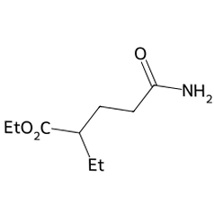 CCOC(=O)C(CC)CCC(N)=O